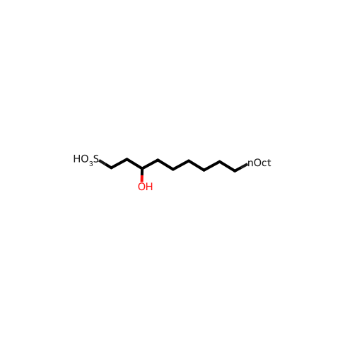 CCCCCCCCCCCCCCC(O)CCS(=O)(=O)O